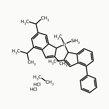 CC.CC1=Cc2c(-c3ccccc3)cccc2[CH]1[Zr]([CH3])([SiH3])[CH]1C(C)=Cc2c(C(C)C)cc(C(C)C)cc21.Cl.Cl